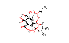 CCCOC(=O)c1c(C(=O)O)c(C(=O)O)c(C(=O)O)c(C(=O)OCCC)c1C(=O)OCCC